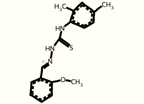 COc1ccccc1/C=N/NC(=S)Nc1ccc(C)cc1C